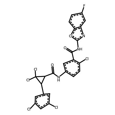 O=C(Nc1nc2cc(F)ccc2o1)c1cc(NC(=O)C2C(c3cc(Cl)cc(Cl)c3)C2(Cl)Cl)ccc1Cl